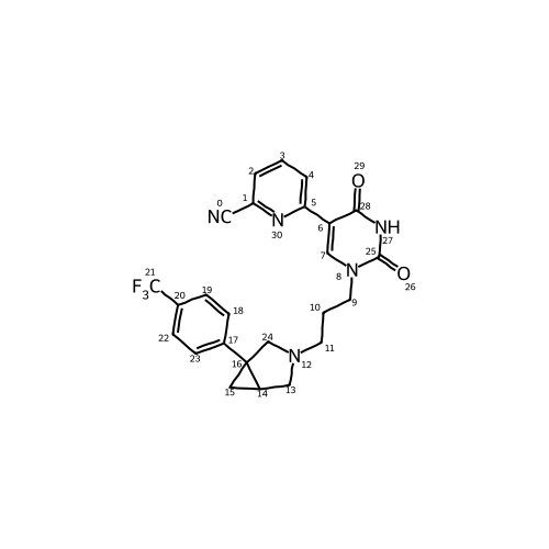 N#Cc1cccc(-c2cn(CCCN3CC4CC4(c4ccc(C(F)(F)F)cc4)C3)c(=O)[nH]c2=O)n1